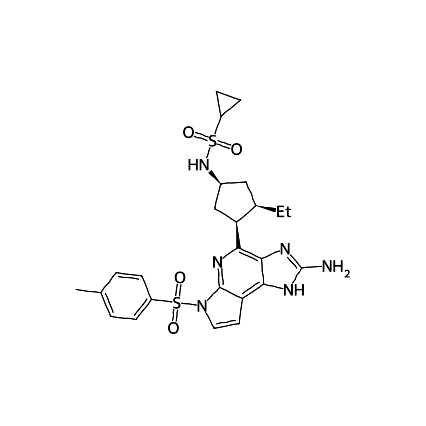 CC[C@@H]1C[C@H](NS(=O)(=O)C2CC2)C[C@@H]1c1nc2c(ccn2S(=O)(=O)c2ccc(C)cc2)c2[nH]c(N)nc12